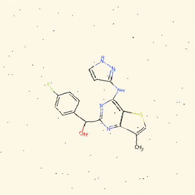 Cc1csc2c(Nc3cc[nH]n3)nc(C(O)c3ccc(F)cc3)nc12